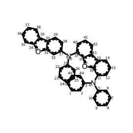 c1ccc(N(c2ccccc2)c2cccc3c2oc2c(N(c4ccccc4)c4ccc5c(c4)oc4ccccc45)cccc23)cc1